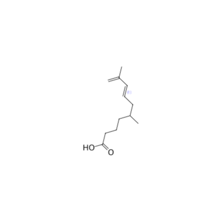 C=C(C)/C=C/CC(C)CCCC(=O)O